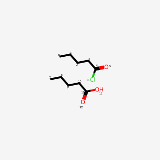 CCCCC(=O)Cl.CCCCC(=O)O